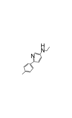 CCNc1ccc(-c2ccc(C)cc2)nc1